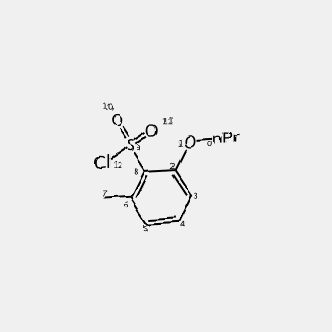 CCCOc1cccc(C)c1S(=O)(=O)Cl